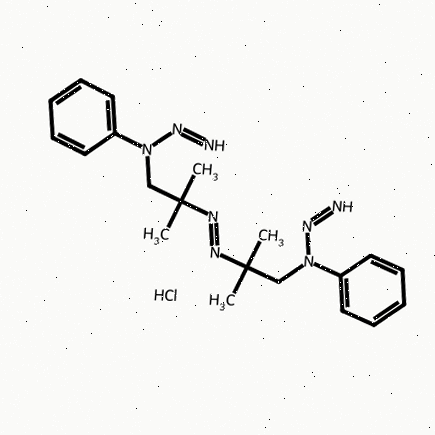 CC(C)(CN(N=N)c1ccccc1)N=NC(C)(C)CN(N=N)c1ccccc1.Cl